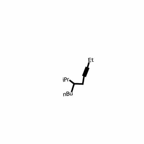 [CH2]CC#CCC(CCC[CH2])C(C)C